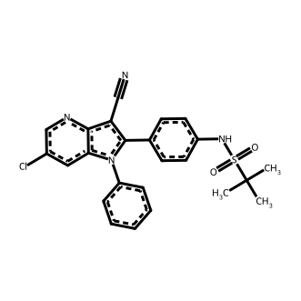 CC(C)(C)S(=O)(=O)Nc1ccc(-c2c(C#N)c3ncc(Cl)cc3n2-c2ccccc2)cc1